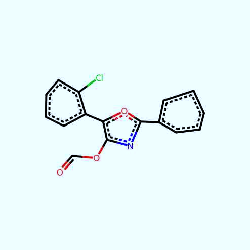 O=COc1nc(-c2ccccc2)oc1-c1ccccc1Cl